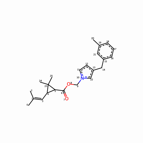 CC(C)=CC1C(C(=O)OCn2ccc(Cc3cccc(C)c3)c2)C1(C)C